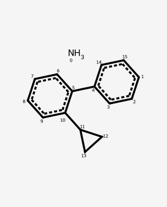 N.c1ccc(-c2ccccc2C2CC2)cc1